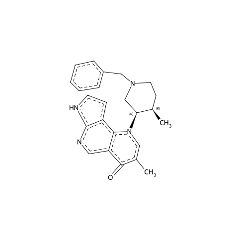 Cc1cn([C@H]2CN(Cc3ccccc3)CC[C@H]2C)c2c(cnc3[nH]ccc32)c1=O